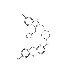 Fc1cc(Cl)ccc1Cc1nccc(OC2CCN(Cc3nc4cc(I)ccc4n3CC3CCO3)CC2)n1